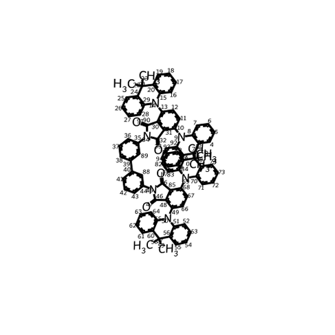 CC1(C)c2ccccc2N(c2ccc(N3c4ccccc4C(C)(C)c4ccccc43)c3c2C(=O)N(c2cccc(-c4cccc(N5C(=O)c6c(N7c8ccccc8C(C)(C)c8ccccc87)ccc(N7c8ccccc8C(C)(C)c8ccccc87)c6C5=O)c4)c2)C3=O)c2ccccc21